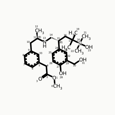 COC(=O)Cc1cccc(C[C@@H](C)NC[C@H](CC(C)(C)[Si](C)(C)O)c2ccc(O)c(CO)c2)c1